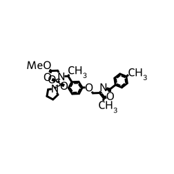 COC(=O)CN(C(C)c1cccc(OCc2nc(-c3ccc(C)cc3)oc2C)c1)S(=O)(=O)N1CCCC1